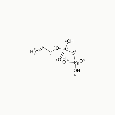 C=CCOP(=O)(O)SP(=O)(O)O